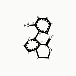 O=C1OCCc2ccnc(-c3ccccc3O)c21